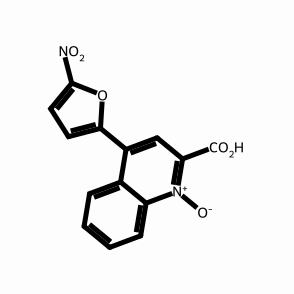 O=C(O)c1cc(-c2ccc([N+](=O)[O-])o2)c2ccccc2[n+]1[O-]